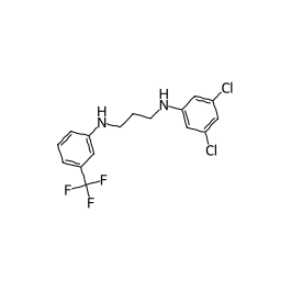 FC(F)(F)c1cccc(NCCCNc2cc(Cl)cc(Cl)c2)c1